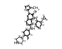 Cc1ccsc1-c1cc2cnc(Nc3ccc(N4CCNCC4)c(F)c3)nc2n(Cc2ccncc2C2CC2)c1=O